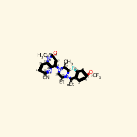 CCC(c1ccc(OC(F)(F)F)cc1F)N1C[C@H](C)N(c2cc(=O)n(C)c3ccc(C#N)nc23)C[C@H]1CC